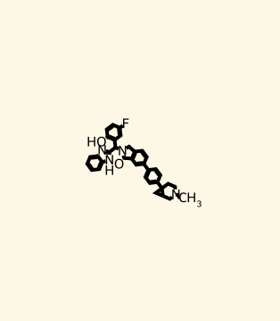 CN1CCC2(c3ccc(-c4ccc5c(c4)C(=O)N(C(c4nc6ccccc6[nH]4)c4cc(F)ccc4O)C5)cc3)CC2C1